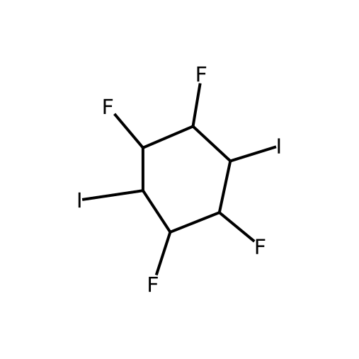 FC1C(F)C(I)C(F)C(F)C1I